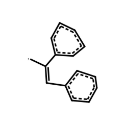 [CH]C(=Cc1ccccc1)c1ccccc1